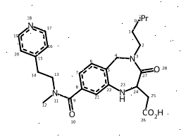 CC(C)CCN1Cc2ccc(C(=O)N(C)CCc3ccncc3)cc2NC(CC(=O)O)C1=O